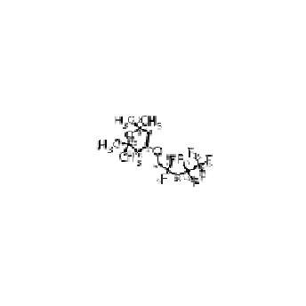 CC1(C)C=C(OCC(F)(F)CC(F)(F)C(F)(F)F)CC(C)(C)O1